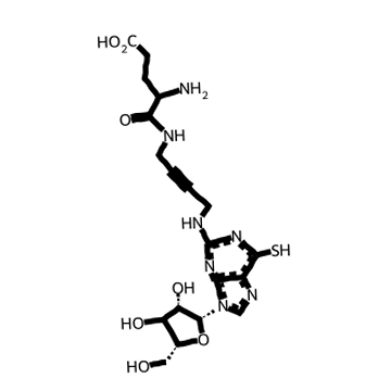 NC(CCC(=O)O)C(=O)NCC#CCNc1nc(S)c2ncn([C@@H]3O[C@H](CO)C(O)[C@@H]3O)c2n1